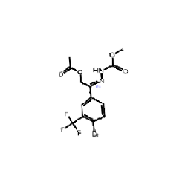 COC(=O)N/N=C(\COC(C)=O)c1ccc(Br)c(C(F)(F)F)c1